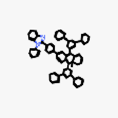 CC12CC=CC=C1C(c1cc(-c3ccccc3)cc(C3C=CC=CC3)c1)=c1cc(-c3ccc(-c4nc5ccccc5n4-c4ccccc4)cc3)ccc1=C2c1cc(-c2ccccc2)cc(C2C=CC=CC2)c1